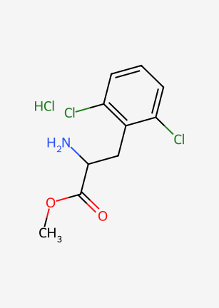 COC(=O)C(N)Cc1c(Cl)cccc1Cl.Cl